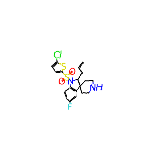 C=CCC1N(S(=O)(=O)c2ccc(Cl)s2)c2ccc(F)cc2C12CCNCC2